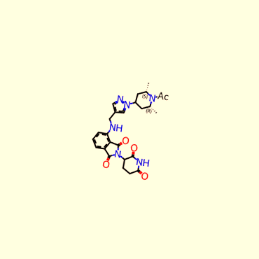 CC(=O)N1[C@H](C)CC(n2cc(CNc3cccc4c3C(=O)N(C3CCC(=O)NC3=O)C4=O)cn2)C[C@@H]1C